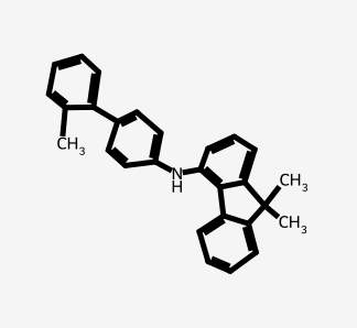 Cc1ccccc1-c1ccc(Nc2cccc3c2-c2ccccc2C3(C)C)cc1